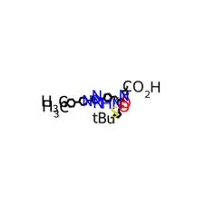 CC1(C)CCC(C2CCN(c3cnc(-c4ccc(C[C@H](NC(=O)c5ccc(C(C)(C)C)s5)C(=O)N5CC(C(=O)O)C5)cc4)nc3)CC2)CC1